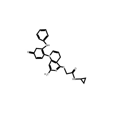 Cc1cc2c(c(SCC(=O)NC3CC3)n1)CC=CN2C1=C(Nc2ccccc2)CC(=O)C=C1